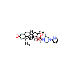 CC1C[C@H]2[C@@H]3CCC4CC(=O)CC[C@]4(C)C3=CC[C@]2(C)[C@@]1(O)C(=O)CN1CCN(c2ccccn2)CC1